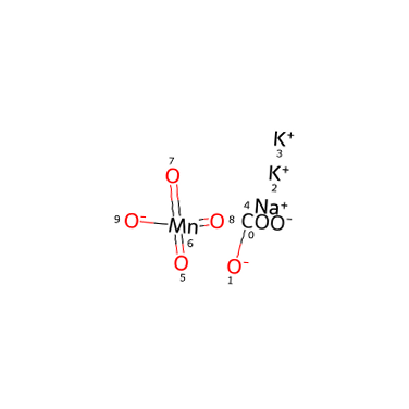 O=C([O-])[O-].[K+].[K+].[Na+].[O]=[Mn](=[O])(=[O])[O-]